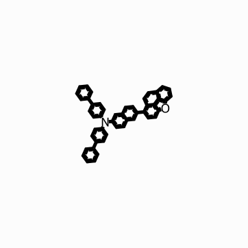 c1ccc(-c2ccc(N(c3ccc(-c4ccccc4)cc3)c3ccc4cc(-c5ccc6oc7cccc8ccc5c6c87)ccc4c3)cc2)cc1